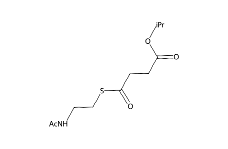 CC(=O)NCCSC(=O)CCC(=O)OC(C)C